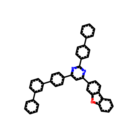 c1ccc(-c2ccc(-c3nc(-c4ccc(-c5cccc(-c6ccccc6)c5)cc4)cc(-c4ccc5c(c4)oc4ccccc45)n3)cc2)cc1